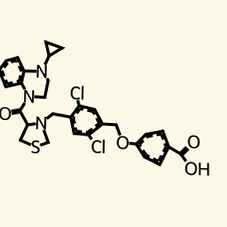 O=C(O)c1ccc(OCc2cc(Cl)c(CN3CSCC3C(=O)N3CCN(C4CC4)c4ccccc43)cc2Cl)cc1